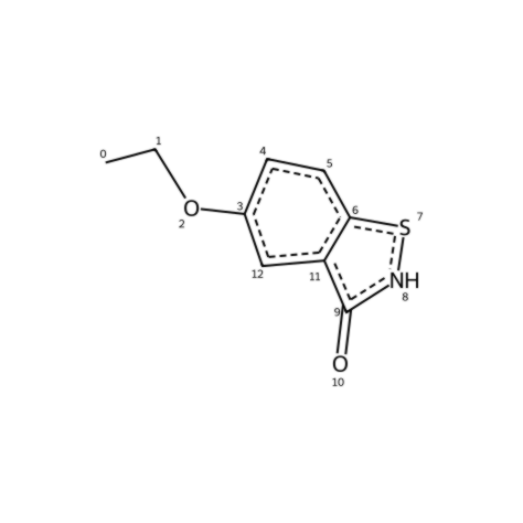 CCOc1ccc2s[nH]c(=O)c2c1